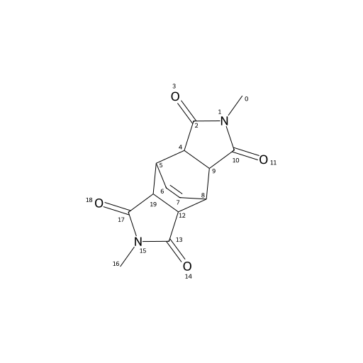 CN1C(=O)C2C3C=CC(C2C1=O)C1C(=O)N(C)C(=O)C31